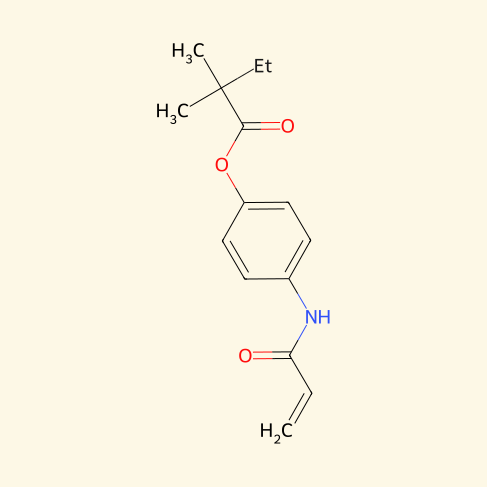 C=CC(=O)Nc1ccc(OC(=O)C(C)(C)CC)cc1